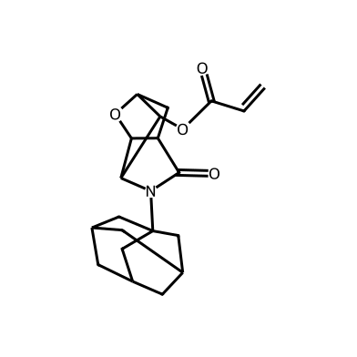 C=CC(=O)OC1C2CC3C(=O)N(C45CC6CC(CC(C6)C4)C5)C1C3O2